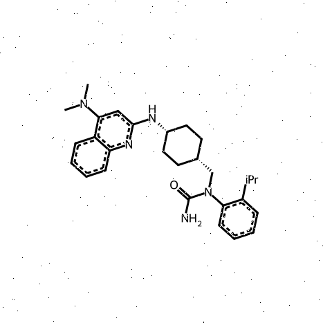 CC(C)c1ccccc1N(C[C@H]1CC[C@@H](Nc2cc(N(C)C)c3ccccc3n2)CC1)C(N)=O